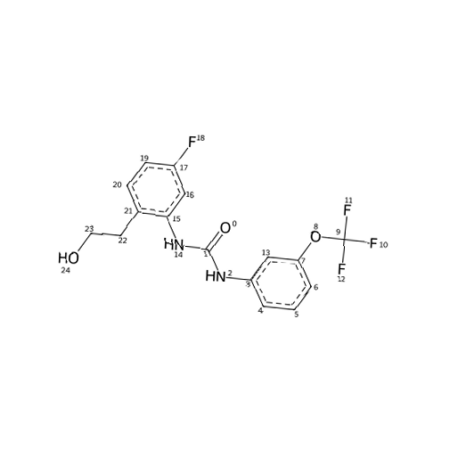 O=C(Nc1cccc(OC(F)(F)F)c1)Nc1cc(F)ccc1CCO